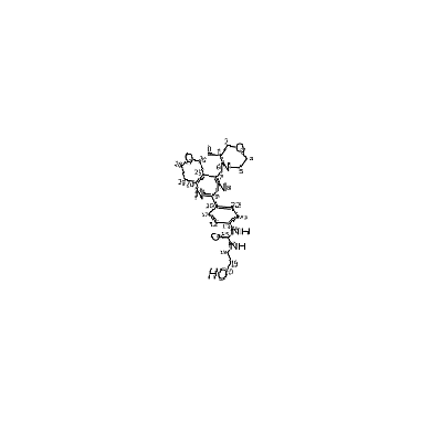 C[C@H]1COCCN1c1nc(-c2ccc(NC(=O)NCCO)cc2)nc2c1COCC2